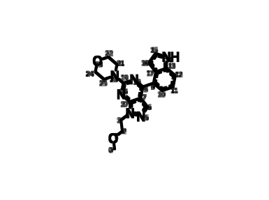 COCCn1ncc2c(-c3cccc4[nH]ccc34)nc(N3CCOCC3)nc21